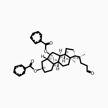 C[C@H](CCC=O)[C@H]1CC[C@H]2[C@@H]3C[C@H](OC(=O)c4ccccc4)[C@H]4C[C@H](OC(=O)c5ccccc5)CC[C@]4(C)[C@H]3CC[C@]12C